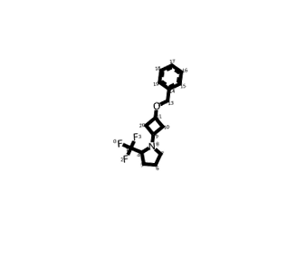 FC(F)(F)C1CCCN1C1CC(OCc2ccccc2)C1